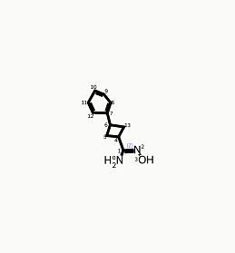 N/C(=N\O)C1CC(c2ccccc2)C1